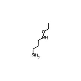 CCONCCC[SiH3]